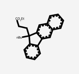 CCCCC1(CCC(=O)OCC)c2ccccc2-c2cc3ccccc3cc21